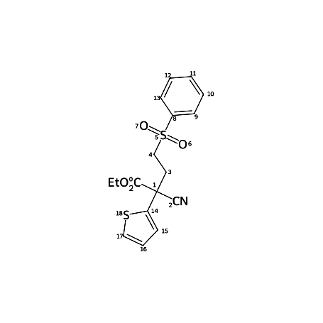 CCOC(=O)C(C#N)(CCS(=O)(=O)c1ccccc1)c1cccs1